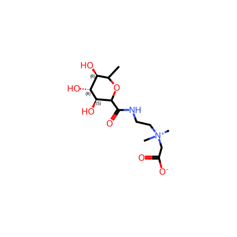 CC1OC(C(=O)NCC[N+](C)(C)CC(=O)[O-])[C@@H](O)[C@H](O)[C@H]1O